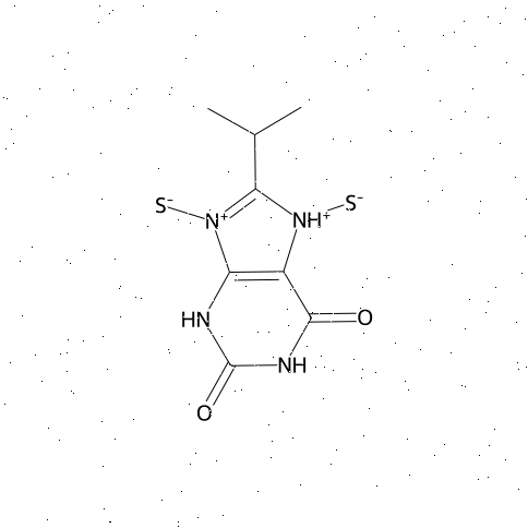 CC(C)C1=[N+]([S-])c2[nH]c(=O)[nH]c(=O)c2[NH+]1[S-]